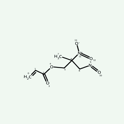 C=CC(=O)OCC(C)(CN=O)[N+](=O)[O-]